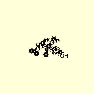 CCC1O[C@@H](O[C@@H]2C(OCc3ccccc3)[C@H](O[C@@H]3C(CC)O[C@@H](O[C@@H]4C(CC)O[C@@H](O)C(C)[C@H]4C)C(C)[C@H]3C)OC(CO[C@H]3OC(CC)[C@@H](C)[C@H](C)C3O)[C@H]2C)[C@@H](OC(=O)OCC2c3ccccc3-c3ccccc32)C(C)[C@H]1C